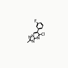 Cc1nc2nc(Cl)c(-c3cccc(F)c3)cn2n1